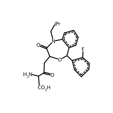 CC(C)CN1C(=O)C(CC(=O)C(N)C(=O)O)OC(c2ccccc2F)c2ccccc21